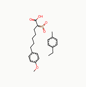 CCc1ccc(C)cc1.COc1ccc(CCCCCC(C(=O)O)=S(=O)=O)cc1